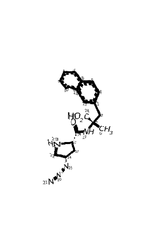 C[C@@](Cc1ccc2ccccc2c1)(NC(=O)[C@@H]1C[C@H](N=[N+]=[N-])CN1)C(=O)O